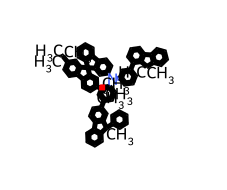 CC(C)(C)c1ccc2c(c1)C1(c3ccccc3-c3ccc(N(c4ccc(-c5ccc6c(c5)C(C)(c5ccccc5)c5ccccc5-6)cc4)c4cccc(-c5cccc6c5C(C)(C)c5ccccc5-6)c4)cc31)c1cc(C(C)(C)C)ccc1-2